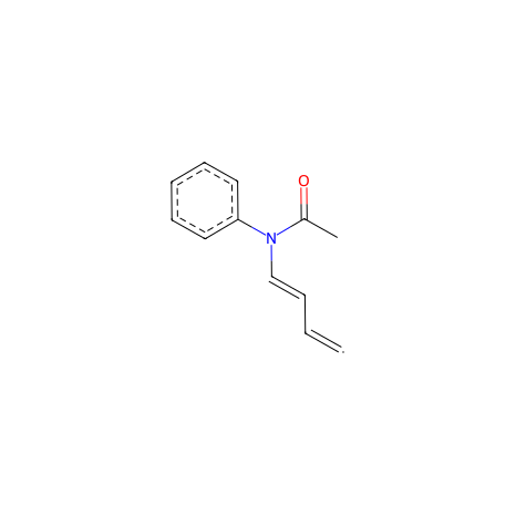 [CH]=CC=CN(C(C)=O)c1ccccc1